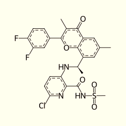 Cc1cc([C@@H](C)Nc2ccc(Cl)nc2C(=O)NS(C)(=O)=O)c2oc(-c3ccc(F)c(F)c3)c(C)c(=O)c2c1